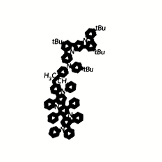 CC(C)(C)c1ccc(N(c2ccc(C(C)(C)Cc3ccc4c5c6c7ccccc7n7c8c(-c9ccccc9)c9c%10cc%11c(c%12ccccc%12n%11-c%11ccccc%11)c%11c%12ccccc%12n(c9c(-c9ccccc9)c8c(cc5n(-c5ccccc5)c4c3)c67)c%10%11)cc2)c2ccc3c4cc(C(C)(C)C)cc5c6cc7c(cc6n(c3c2)c45)c2cc(C(C)(C)C)cc3c4cc(C(C)(C)C)ccc4n7c32)cc1